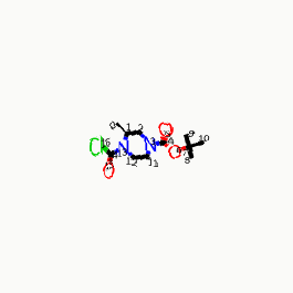 C[C@H]1CN(C(=O)OC(C)(C)C)CCN1C(=O)Cl